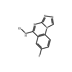 CCNc1nc2nncn2c2ccc(F)cc12